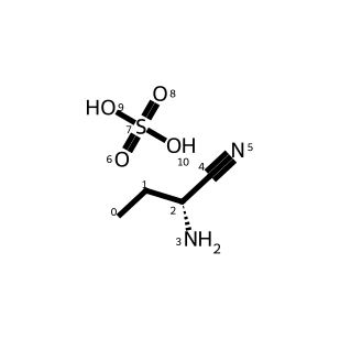 CC[C@@H](N)C#N.O=S(=O)(O)O